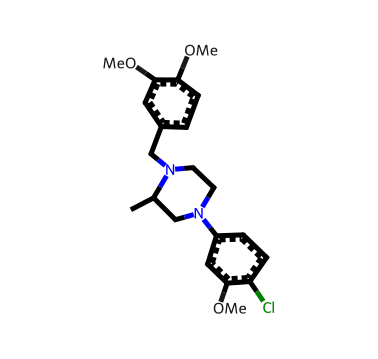 COc1cc(N2CCN(Cc3ccc(OC)c(OC)c3)C(C)C2)ccc1Cl